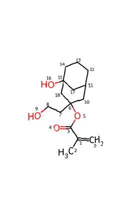 C=C(C)C(=O)OC1(CCO)CC2CCCC(O)(C2)C1